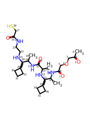 CC(=O)COCC(=O)NC(C)C(NC(C)C(=O)NC(C)C(NCCNC(=O)CS)=C1CCC1)=C1CCC1